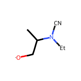 CCN(C#N)[C](C)C[O]